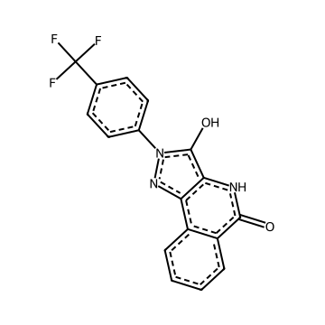 O=c1[nH]c2c(O)n(-c3ccc(C(F)(F)F)cc3)nc2c2ccccc12